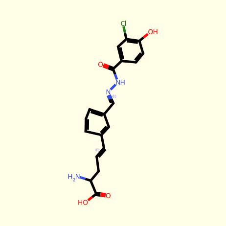 NC(C/C=C/c1cccc(/C=N/NC(=O)c2ccc(O)c(Cl)c2)c1)C(=O)O